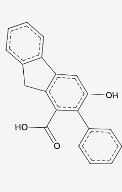 O=C(O)c1c2c(cc(O)c1-c1ccccc1)-c1ccccc1C2